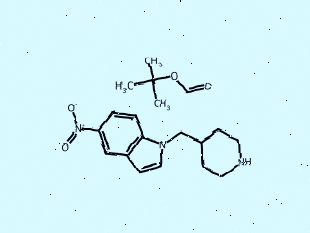 CC(C)(C)OC=O.O=[N+]([O-])c1ccc2c(ccn2CC2CCNCC2)c1